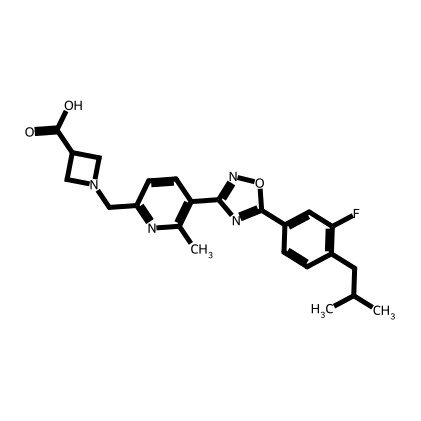 Cc1nc(CN2CC(C(=O)O)C2)ccc1-c1noc(-c2ccc(CC(C)C)c(F)c2)n1